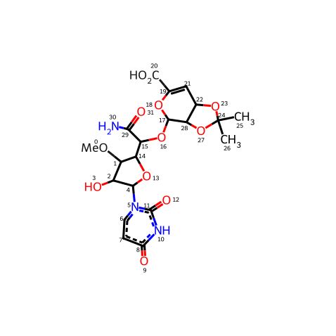 COC1C(O)C(n2ccc(=O)[nH]c2=O)OC1C(OC1OC(C(=O)O)=CC2OC(C)(C)OC21)C(N)=O